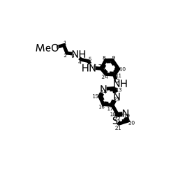 COCCNCCNc1cccc(Nc2nccc(-c3nccs3)n2)c1